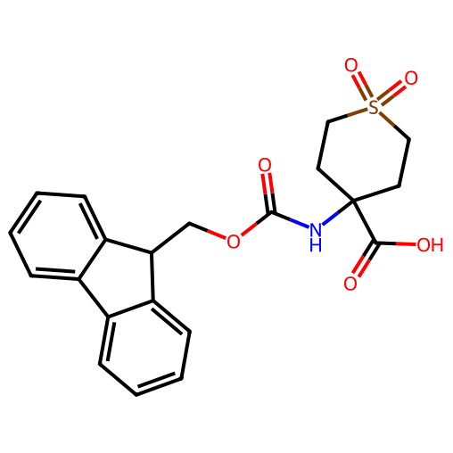 O=C(NC1(C(=O)O)CCS(=O)(=O)CC1)OCC1c2ccccc2-c2ccccc21